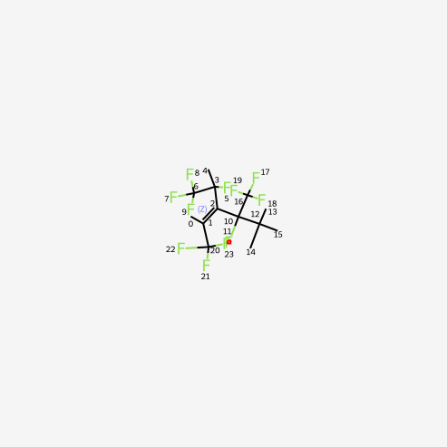 C/C(=C(\C(C)(F)C(F)(F)F)C(F)(C(C)(C)C)C(F)(F)F)C(F)(F)F